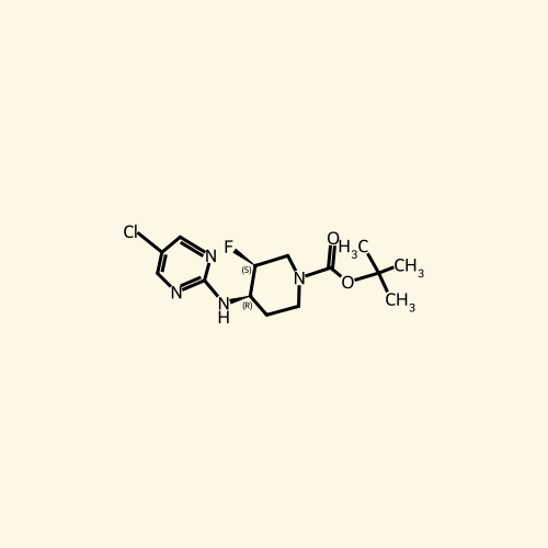 CC(C)(C)OC(=O)N1CC[C@@H](Nc2ncc(Cl)cn2)[C@@H](F)C1